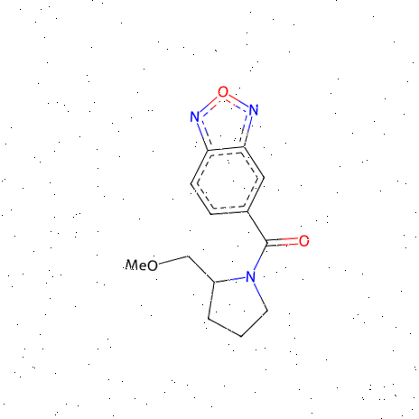 COCC1CCCN1C(=O)c1ccc2nonc2c1